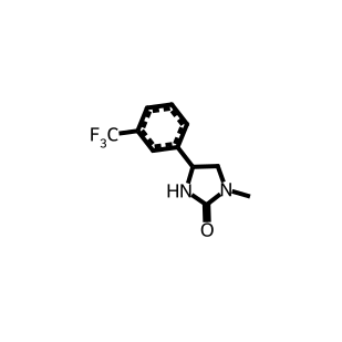 CN1CC(c2cccc(C(F)(F)F)c2)NC1=O